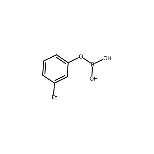 CCc1cccc(OB(O)O)c1